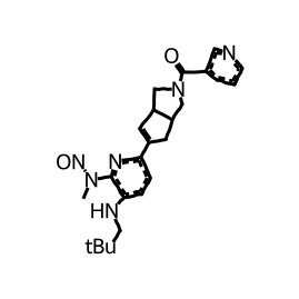 CN(N=O)c1nc(C2=CC3CN(C(=O)c4cccnc4)CC3C2)ccc1NCC(C)(C)C